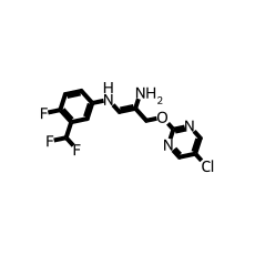 N/C(=C\Nc1ccc(F)c(C(F)F)c1)COc1ncc(Cl)cn1